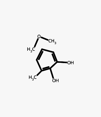 COC.Cc1cccc(O)c1O